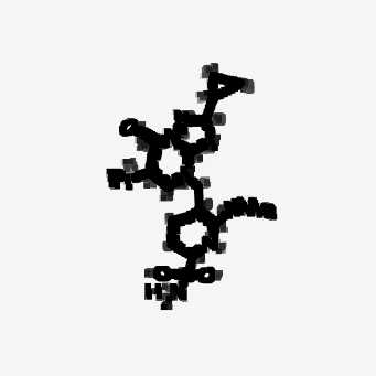 CNc1nc(S(N)(=O)=O)ccc1Cn1cc(C(C)C)c(=O)n2nc(C3CC3)nc12